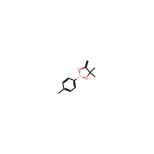 C=C1OB(c2ccc(C)cc2)OC1(C)C